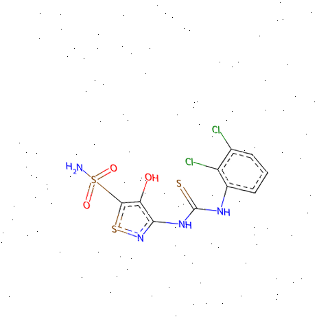 NS(=O)(=O)c1snc(NC(=S)Nc2cccc(Cl)c2Cl)c1O